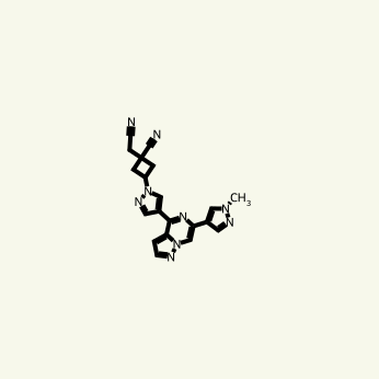 Cn1cc(-c2cn3nccc3c(-c3cnn(C4CC(C#N)(CC#N)C4)c3)n2)cn1